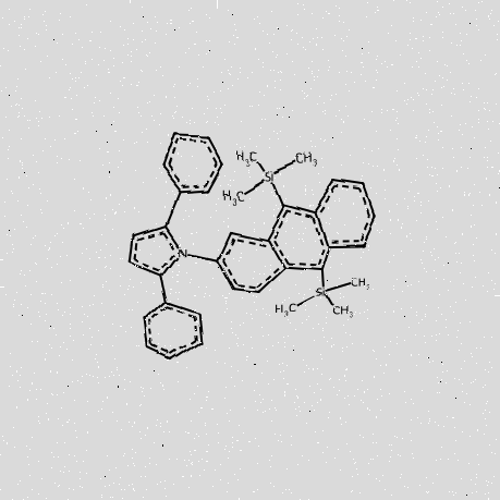 C[Si](C)(C)c1c2ccccc2c([Si](C)(C)C)c2cc(-n3c(-c4ccccc4)ccc3-c3ccccc3)ccc12